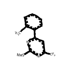 CSc1nc(-c2ccccc2C)cc(C(F)(F)F)n1